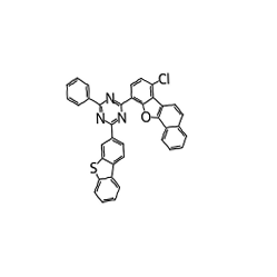 Clc1ccc(-c2nc(-c3ccccc3)nc(-c3ccc4c(c3)sc3ccccc34)n2)c2oc3c4ccccc4ccc3c12